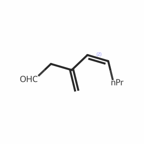 C=C(/C=C\CCC)CC=O